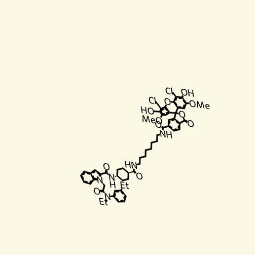 CCc1cccc(N(CC)C(=O)Cn2c(C(=O)N[C@H]3CC[C@H](C(=O)NCCCCCCCCNC(=O)c4ccc5c(c4)C4(OC5=O)c5cc(OC)c(O)c(Cl)c5Oc5c4cc(OC)c(O)c5Cl)CC3)cc3ccccc32)c1